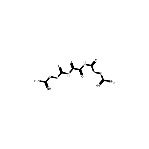 N=C(N)SOC(=O)NC(=O)C(=O)NC(=O)OSC(=N)N